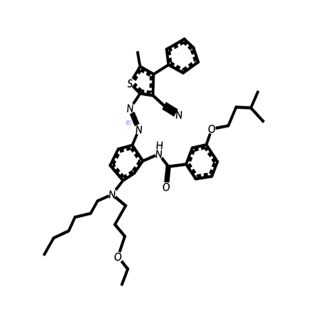 CCCCCCN(CCCOCC)c1ccc(/N=N/c2sc(C)c(-c3ccccc3)c2C#N)c(NC(=O)c2cccc(OCCC(C)C)c2)c1